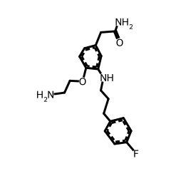 NCCOc1ccc(CC(N)=O)cc1NCCCc1ccc(F)cc1